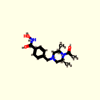 CC(=O)N1[C@H](C)CN(Cc2ccc(C(=O)NO)cc2)C[C@@H]1C